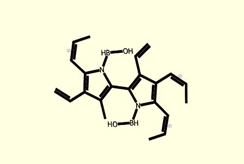 C=Cc1c(C)c(-c2c(C=C)c(/C=C\C)c(/C=C\C)n2BO)n(BO)c1/C=C\C